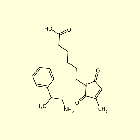 CC(CN)c1ccccc1.CC1=CC(=O)N(CCCCCC(=O)O)C1=O